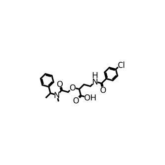 CC(c1ccccc1)N(C)C(=O)COC(CCNC(=O)c1ccc(Cl)cc1)C(=O)O